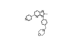 Cc1nc2ccc(-c3ccncc3)nc2n1-c1ccc(CN2CCOCC2)cc1